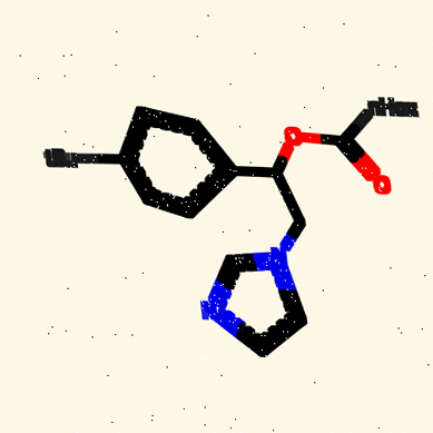 CCCCCCC(=O)OC(Cn1ccnc1)c1ccc(C(C)(C)C)cc1